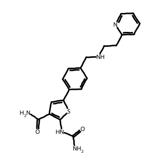 NC(=O)Nc1sc(-c2ccc(CNCCc3ccccn3)cc2)cc1C(N)=O